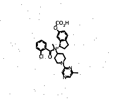 Cc1cncc(N2CCC([N+](C)(C(=O)c3ccccc3Cl)[C@@H]3CCc4ccc(OC(=O)O)cc43)CC2)n1